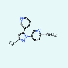 CC(=O)Nc1ccc(-n2nc(C(F)(F)F)cc2-c2cccnc2)cn1